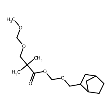 COCOCC(C)(C)C(=O)OCOCC1CC2CCC1C2